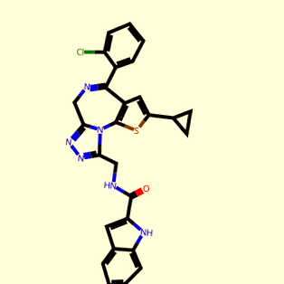 O=C(NCc1nnc2n1-c1sc(C3CC3)cc1C(c1ccccc1Cl)=NC2)c1cc2ccccc2[nH]1